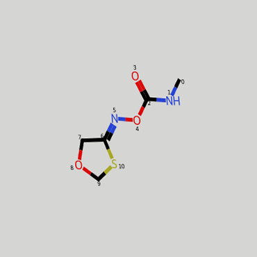 CNC(=O)ON=C1COCS1